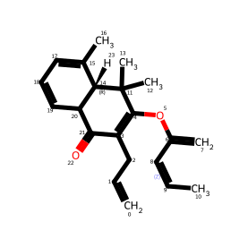 C=CCC1=C(OC(=C)/C=C\C)C(C)(C)[C@H]2C(C)=CC=CC2C1=O